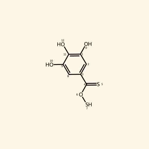 Oc1cc(C(=S)OS)cc(O)c1O